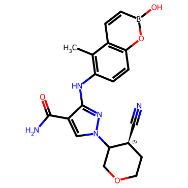 Cc1c(Nc2nn(C3COCC[C@@H]3C#N)cc2C(N)=O)ccc2c1C=CB(O)O2